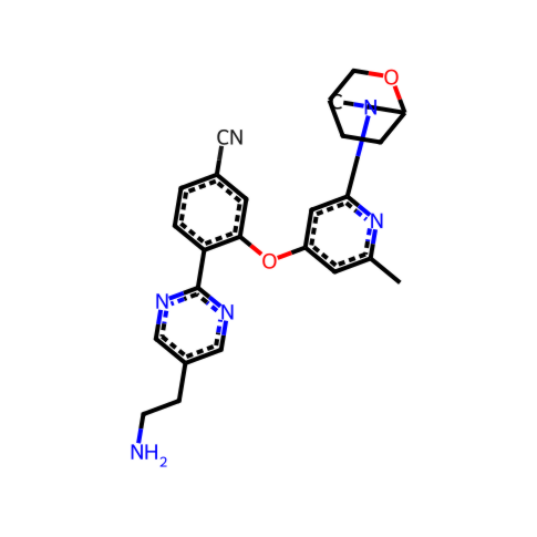 Cc1cc(Oc2cc(C#N)ccc2-c2ncc(CCN)cn2)cc(N2CC3CCC(C2)OC3)n1